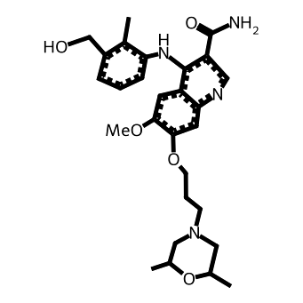 COc1cc2c(Nc3cccc(CO)c3C)c(C(N)=O)cnc2cc1OCCCN1CC(C)OC(C)C1